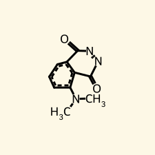 CN(C)c1cccc2c1C(=O)N=NC2=O